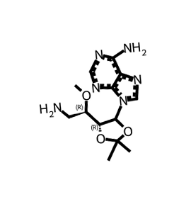 CO[C@H](CN)[C@H]1OC(C)(C)OC1n1cnc2c(N)ncnc21